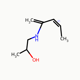 C=C(/C=C\C)NCC(C)O